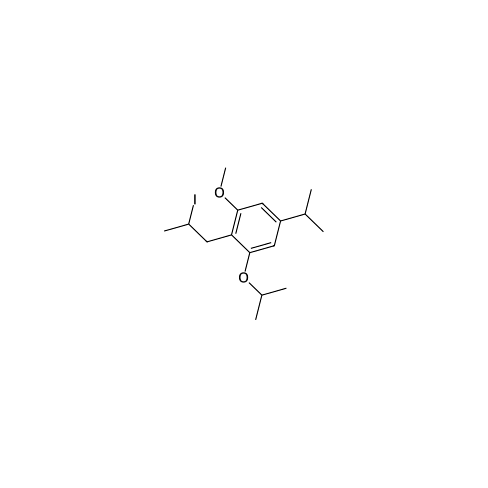 COc1cc(C(C)C)cc(OC(C)C)c1CC(C)I